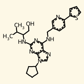 CC(C)C(CO)Nc1nc(NCc2ccc(-c3cccs3)nc2)c2ncn(C3CCCC3)c2n1